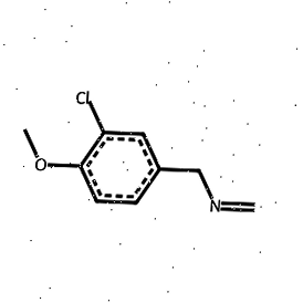 C=NCc1ccc(OC)c(Cl)c1